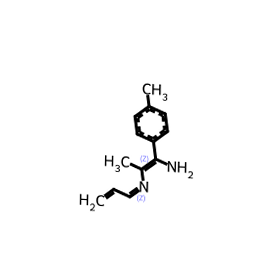 C=C/C=N\C(C)=C(/N)c1ccc(C)cc1